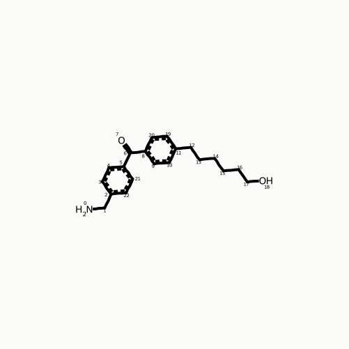 NCc1ccc(C(=O)c2ccc(CCCCCCO)cc2)cc1